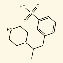 CC(Cc1cccc(S(=O)(=O)O)c1)N1CCNCC1